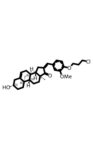 COc1cc(C=C2C[C@H]3[C@@H]4CC=C5C[C@@H](O)CC[C@]5(C)[C@H]4CC[C@]3(C)C2=O)ccc1OCCCCl